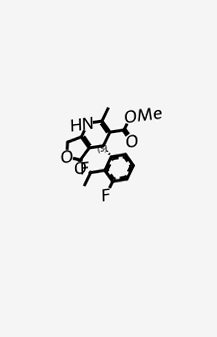 COC(=O)C1=C(C)NC2=C(C(=O)OC2)[C@H]1c1cccc(F)c1C(C)F